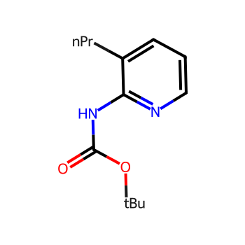 CCCc1cccnc1NC(=O)OC(C)(C)C